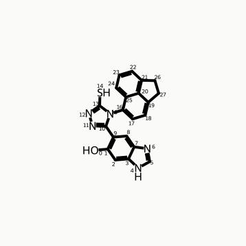 Oc1cc2[nH]cnc2cc1-c1nnc(S)n1-c1ccc2c3c(cccc13)CC2